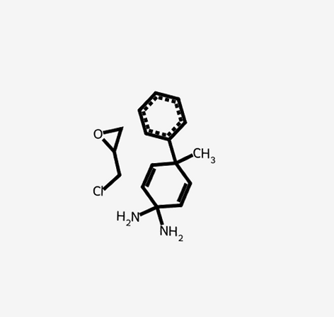 CC1(c2ccccc2)C=CC(N)(N)C=C1.ClCC1CO1